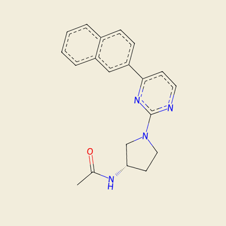 CC(=O)N[C@H]1CCN(c2nccc(-c3ccc4ccccc4c3)n2)C1